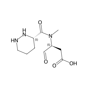 CN(C(=O)[C@@H]1CCCNN1)[C@H](C=O)CC(=O)O